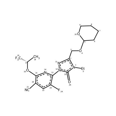 CCn1c(COC2CCCCO2)nn(-c2nc(O[C@@H](C)C(F)(F)F)c(C#N)cc2F)c1=O